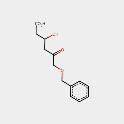 O=C(O)CC(O)CC(=O)COCc1ccccc1